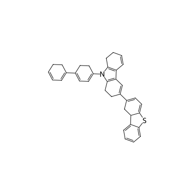 C1=CCCC(C2=CC=C(n3c4c(c5c3CCC(C3=CC=C6Sc7ccccc7C6C3)=C5)C=CCC4)CC2)=C1